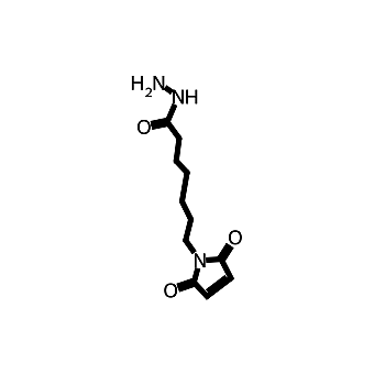 NNC(=O)CCCCCCN1C(=O)C=CC1=O